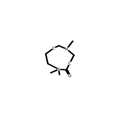 CN1CCCC[Si](C)(C)C(=O)CC1